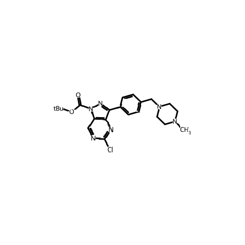 CN1CCN(Cc2ccc(-c3nn(C(=O)OC(C)(C)C)c4cnc(Cl)nc34)cc2)CC1